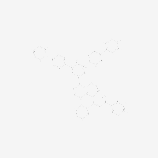 C1=C(c2ccccc2)c2c(ccc3c(-c4cc(-c5ccc(-c6ccccc6)cc5)nc(-c5ccc(-c6ccccc6)cc5)c4)cccc23)NC1c1ccccc1